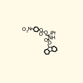 CC(C)[C@@H](COC(=O)Oc1ccc([N+](=O)[O-])cc1)NC(=O)OCC1c2ccccc2-c2ccccc21